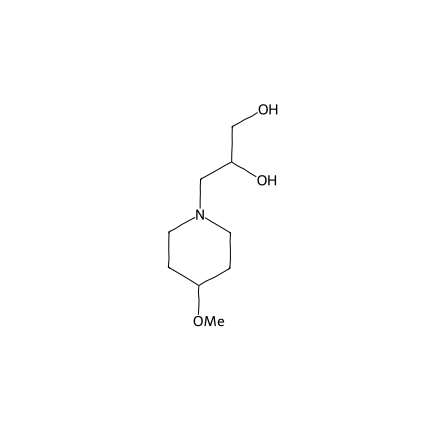 COC1CCN(CC(O)CO)CC1